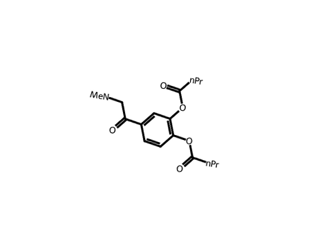 CCCC(=O)Oc1ccc(C(=O)CNC)cc1OC(=O)CCC